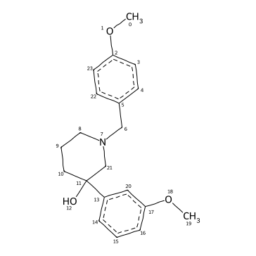 COc1ccc(CN2CCCC(O)(c3cccc(OC)c3)C2)cc1